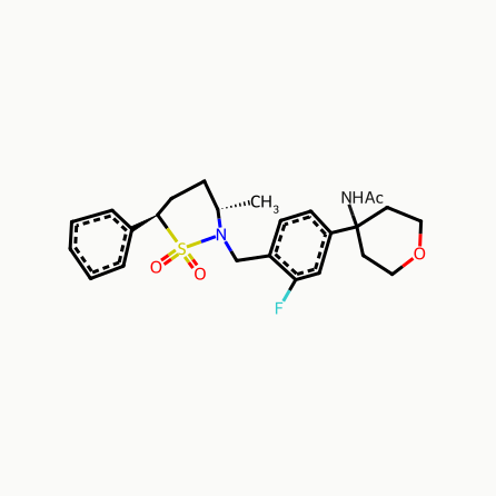 CC(=O)NC1(c2ccc(CN3[C@@H](C)CC[C@H](c4ccccc4)S3(=O)=O)c(F)c2)CCOCC1